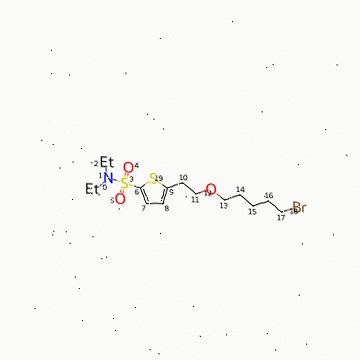 CCN(CC)S(=O)(=O)c1ccc(CCOCCCCCBr)s1